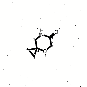 O=C1COC2(CC2)CN1